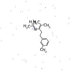 CC(C)=C(CCc1cccc(C)c1)/N=C(/C)N